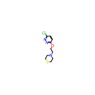 Clc1ccc(OCCN2CCSCC2)nn1